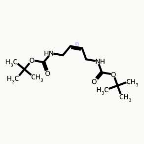 CC(C)(C)OC(=O)NC/C=C\CNC(=O)OC(C)(C)C